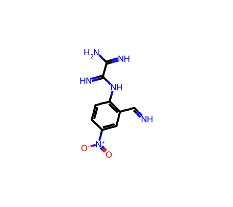 N=Cc1cc([N+](=O)[O-])ccc1NC(=N)C(=N)N